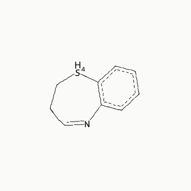 C1=Nc2ccccc2[SH4]CC1